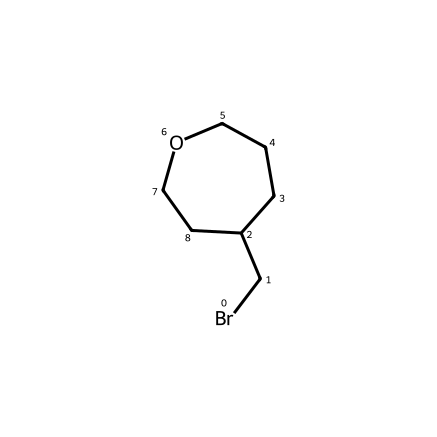 BrCC1CCCOCC1